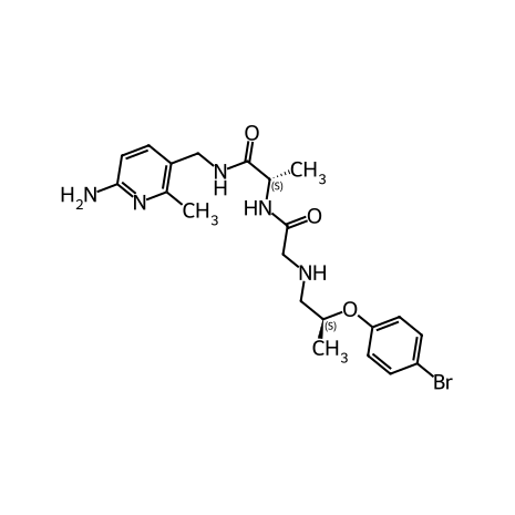 Cc1nc(N)ccc1CNC(=O)[C@H](C)NC(=O)CNC[C@H](C)Oc1ccc(Br)cc1